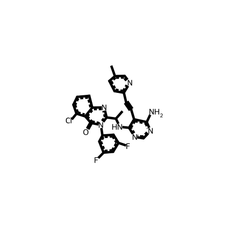 Cc1ccc(C#Cc2c(N)ncnc2NC(C)c2nc3cccc(Cl)c3c(=O)n2-c2cc(F)cc(F)c2)nc1